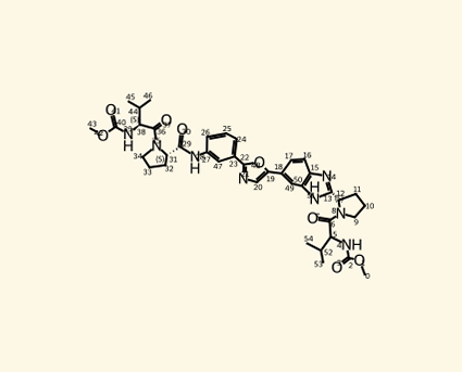 COC(=O)NC(C(=O)N1CCC[C@H]1c1nc2ccc(-c3cnc(-c4cccc(NC(=O)[C@@H]5CCCN5C(=O)[C@@H](NC(=O)OC)C(C)C)c4)o3)cc2[nH]1)C(C)C